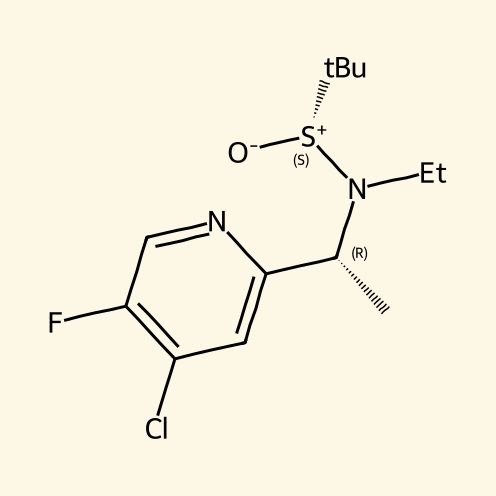 CCN([C@H](C)c1cc(Cl)c(F)cn1)[S@+]([O-])C(C)(C)C